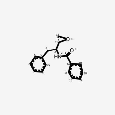 O=C(N[C@@H](Cc1ccccc1)[C@@H]1CO1)c1ccccc1